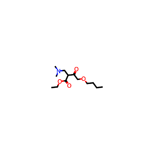 CCCCOCC(=O)C(CN(C)C)C(=O)OCC